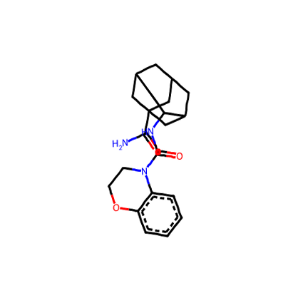 NC(=O)C12CC3CC(C1)C(NC(=O)N1CCOc4ccccc41)C(C3)C2